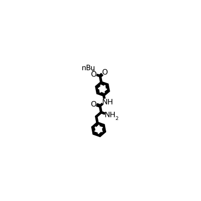 CCCCOC(=O)c1ccc(NC(=O)C(N)Cc2ccccc2)cc1